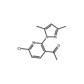 CC(=O)c1ccc(Cl)nc1-n1nc(C)cc1C